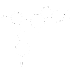 CCc1ccc(C2=Cc3ccc4c(c3COC2)C=CC(C)(C)O4)c(OCC2=CCC=C(N=O)C=C2)c1